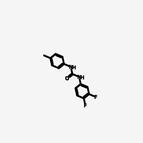 Cc1ccc(NC(=O)Nc2ccc(F)c(F)c2)cc1